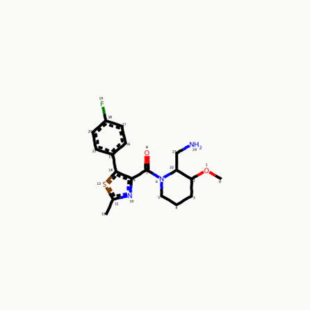 COC1CCCN(C(=O)c2nc(C)sc2-c2ccc(F)cc2)C1CN